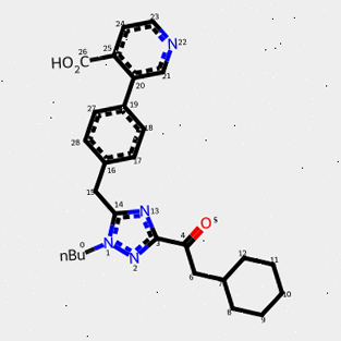 CCCCn1nc(C(=O)CC2CCCCC2)nc1Cc1ccc(-c2cnccc2C(=O)O)cc1